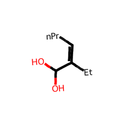 CCCC=C(CC)C(O)O